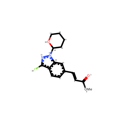 COC(=O)/C=C/c1ccc2c(F)nn(C3CCCCO3)c2c1